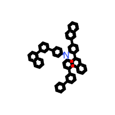 c1ccc(-c2cccc(-c3ccc(N(c4ccc(-c5cccc(-c6cccc7ccccc67)c5)cc4)c4cc(-c5ccc6ccccc6c5)ccc4-c4ccc5ccccc5c4)cc3)c2)cc1